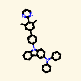 Cc1cc(-c2ccc(-n3c4ccccc4c4cc(N(c5ccccc5)c5ccccc5)ccc43)cc2)cc(C)c1-c1ncccn1